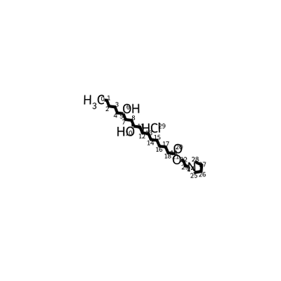 CCCCCC(O)CCC(O)CCCCCCCCC(=O)OCCN1CCCC1.Cl